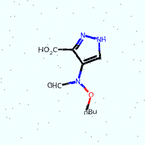 CCCCON(C=O)c1c[nH]nc1C(=O)O